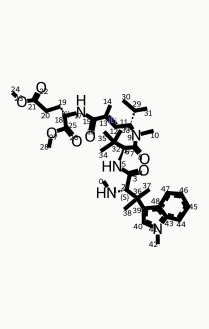 CN[C@H](C(=O)N[C@H](C(=O)N(C)[C@H](/C=C(\C)C(=O)N[C@@H](CCC(=O)OC)C(=O)OC)C(C)C)C(C)(C)C)C(C)(C)c1cn(C)c2ccccc12